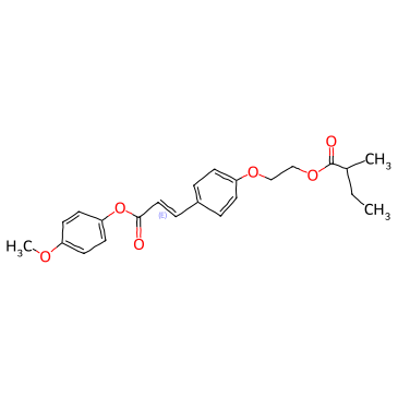 CCC(C)C(=O)OCCOc1ccc(/C=C/C(=O)Oc2ccc(OC)cc2)cc1